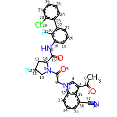 CC(=O)c1cn(CC(=O)N2C[C@H](F)C[C@H]2C(=O)Nc2cccc(-c3ccccc3Cl)c2F)c2cccc(C#N)c12